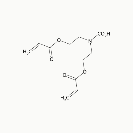 C=CC(=O)OCCN(CCOC(=O)C=C)C(=O)O